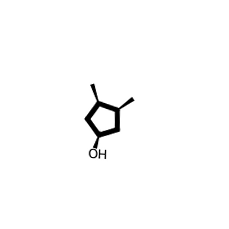 C[C@@H]1C[C@H](O)C[C@@H]1C